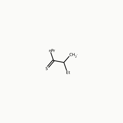 [CH2]C(CC)C(=S)CCC